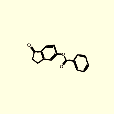 O=C(Oc1ccc2c(c1)CCC2=O)c1ccccc1